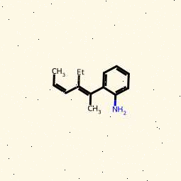 C/C=C\C(CC)=C(/C)c1ccccc1N